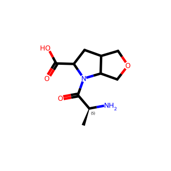 C[C@H](N)C(=O)N1C(C(=O)O)CC2COCC21